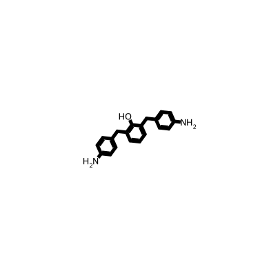 Nc1ccc(Cc2cccc(Cc3ccc(N)cc3)c2O)cc1